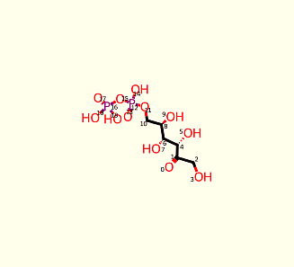 O=C(CO)[C@@H](O)[C@H](O)[C@H](O)COP(=O)(O)OP(=O)(O)O